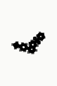 O=S(=O)(c1ccccc1)c1cnc2c(N3CCN(C4CCC4)CC3)cccc2c1